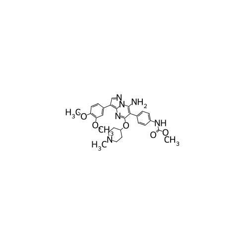 COC(=O)Nc1ccc(-c2c(OC3CCN(C)CC3)nc3c(-c4ccc(OC)c(OC)c4)cnn3c2N)cc1